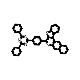 c1ccc(-c2nc(-c3ccccc3)nc(-c3ccc(-c4nc5cc6ccccc6cc5c5c4sc4ccccc45)cc3)n2)cc1